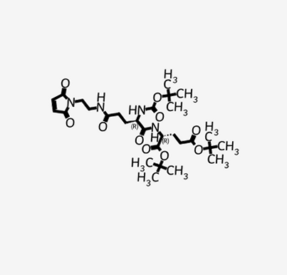 CC(C)(C)OC(=O)CC[C@@H](NC(=O)[C@@H](CCC(=O)NCCN1C(=O)C=CC1=O)NC(=O)OC(C)(C)C)C(=O)OC(C)(C)C